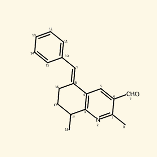 Cc1nc2c(cc1C=O)C(=Cc1ccccc1)CCC2C